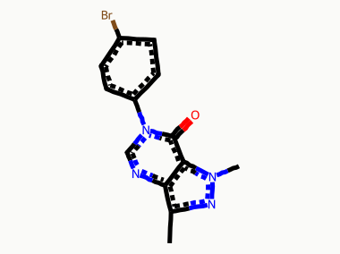 Cc1nn(C)c2c(=O)n(-c3ccc(Br)cc3)cnc12